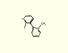 C[n+]1cncnc1-c1cccnc1I